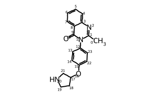 Cc1nc2ccccc2c(=O)n1-c1ccc(OC2CCNC2)cc1